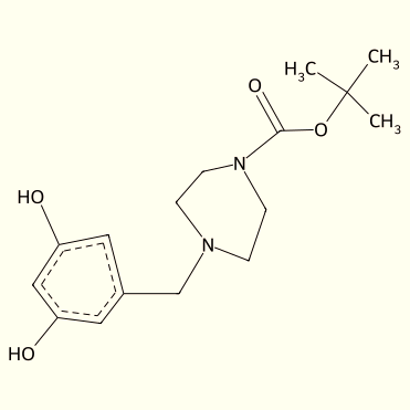 CC(C)(C)OC(=O)N1CCN(Cc2cc(O)cc(O)c2)CC1